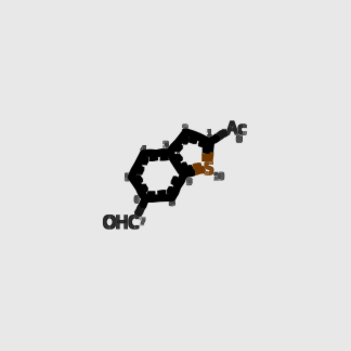 CC(=O)c1cc2ccc(C=O)cc2s1